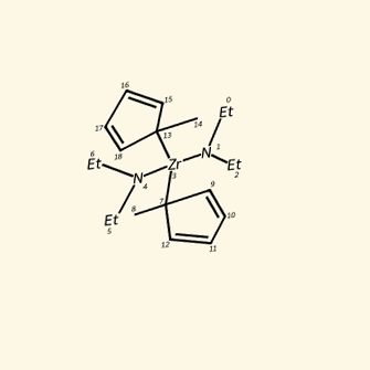 CC[N](CC)[Zr]([N](CC)CC)([C]1(C)C=CC=C1)[C]1(C)C=CC=C1